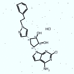 Cl.Nc1nc(Cl)nc2c1ccn2[C@@H]1C[C@H](c2cnn(CCc3ccccc3)c2)[C@@H](O)[C@H]1O